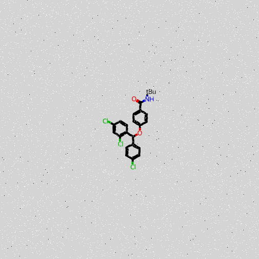 CC(C)(C)NC(=O)c1ccc(OC(c2ccc(Cl)cc2)c2ccc(Cl)cc2Cl)cc1